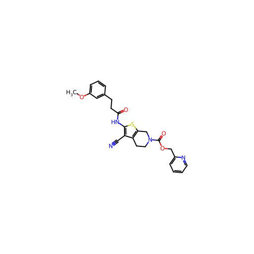 COc1cccc(CCC(=O)Nc2sc3c(c2C#N)CCN(C(=O)OCc2ccccn2)C3)c1